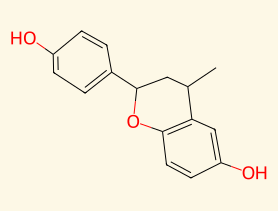 CC1CC(c2ccc(O)cc2)Oc2ccc(O)cc21